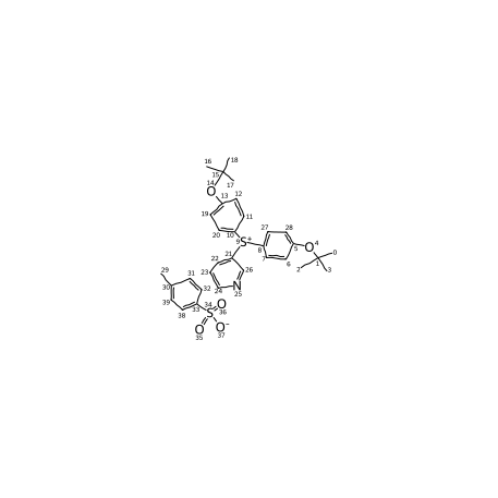 CC(C)(C)Oc1ccc([S+](c2ccc(OC(C)(C)C)cc2)c2cccnc2)cc1.Cc1ccc(S(=O)(=O)[O-])cc1